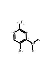 CCc1cnc(C(F)(F)F)cc1N(C)C